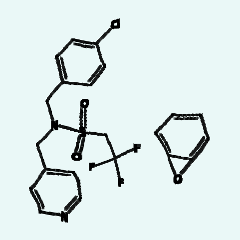 O=S(=O)(CC(F)(F)F)N(Cc1ccncc1)Cc1ccc(Cl)cc1.c1ccc2c(c1)O2